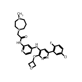 CN1CCCN(CC(=O)Nc2cc(Nc3cc(-c4cc(Cl)ccc4F)nnc3OC3COC3)ccn2)CC1